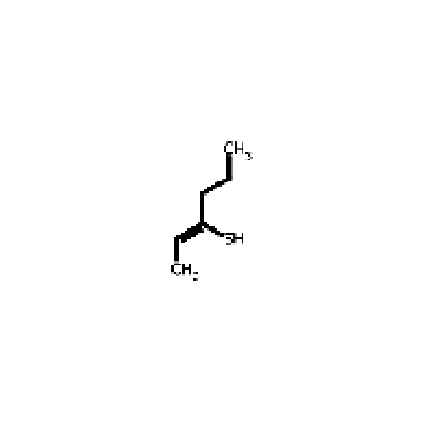 CC=C(S)CCC